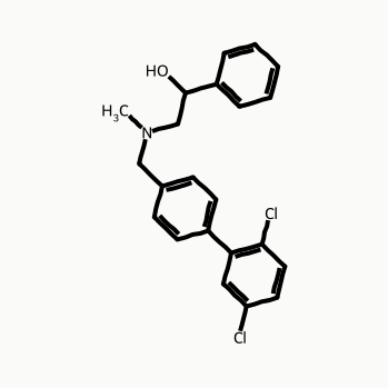 CN(Cc1ccc(-c2cc(Cl)ccc2Cl)cc1)CC(O)c1ccccc1